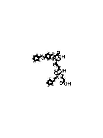 O=C(O)CCC[C@H](NC(=O)C[C@H]1O[C@@H]1C(=O)N[C@@H](Cc1ccc(OCc2ccccc2)cc1)C(=O)O)C(=O)NCCc1ccccc1